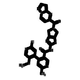 COc1cnc(Cl)cc1-c1cc(C)ncc1C(=O)Nc1nc2c(s1)CN(C(=O)c1ccn3nccc3n1)C2